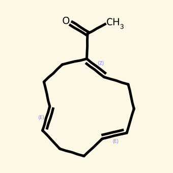 CC(=O)/C1=C\CC/C=C/CC/C=C/CC1